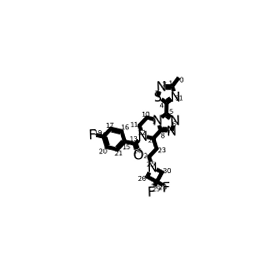 Cc1nsc(-c2nnc3n2CCN(C(=O)c2ccc(F)cc2)C3CCN2CC(F)(F)C2)n1